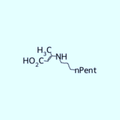 CCCCCCCCNC(C)=CC(=O)O